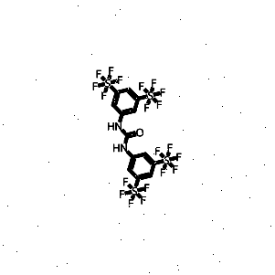 O=C(Nc1cc(S(F)(F)(F)(F)F)cc(S(F)(F)(F)(F)F)c1)Nc1cc(S(F)(F)(F)(F)F)cc(S(F)(F)(F)(F)F)c1